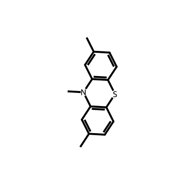 Cc1ccc2c(c1)N(C)c1cc(C)ccc1S2